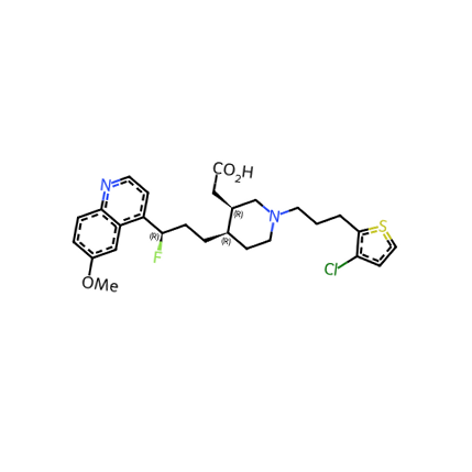 COc1ccc2nccc([C@H](F)CC[C@@H]3CCN(CCCc4sccc4Cl)C[C@@H]3CC(=O)O)c2c1